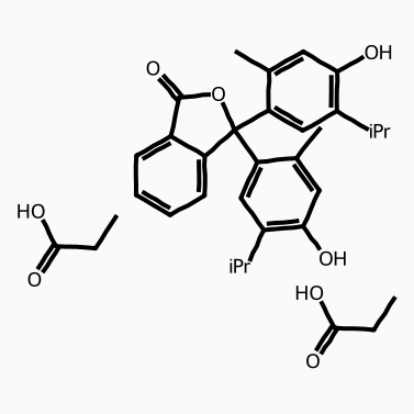 CCC(=O)O.CCC(=O)O.Cc1cc(O)c(C(C)C)cc1C1(c2cc(C(C)C)c(O)cc2C)OC(=O)c2ccccc21